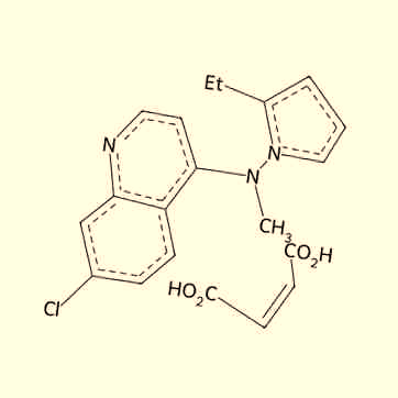 CCc1cccn1N(C)c1ccnc2cc(Cl)ccc12.O=C(O)/C=C\C(=O)O